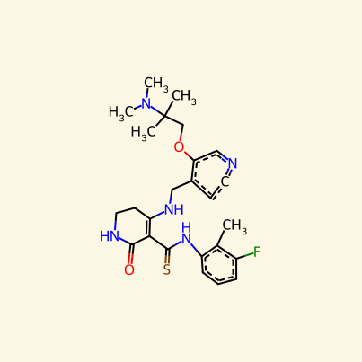 Cc1c(F)cccc1NC(=S)C1=C(NCc2ccncc2OCC(C)(C)N(C)C)CCNC1=O